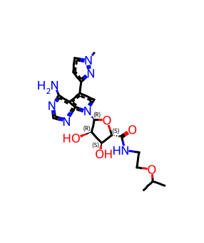 CC(C)OCCNC(=O)[C@H]1O[C@@H](n2cc(-c3ccn(C)n3)c3c(N)ncnc32)[C@H](O)[C@@H]1O